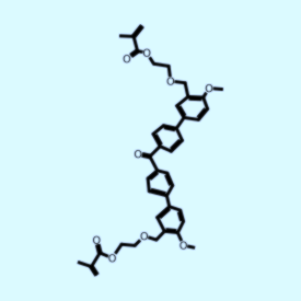 C=C(C)C(=O)OCCOCc1cc(-c2ccc(C(=O)c3ccc(-c4ccc(OC)c(COCCOC(=O)C(=C)C)c4)cc3)cc2)ccc1OC